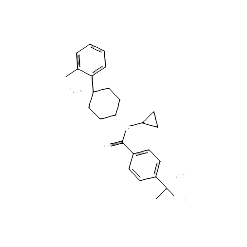 C[C@](O)(c1ccc(C(=O)N(C2CC2)[C@H]2CC[C@](C#N)(c3ccccc3Cl)CC2)cc1)C(F)(F)F